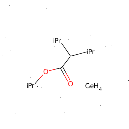 CC(C)OC(=O)C(C(C)C)C(C)C.[GeH4]